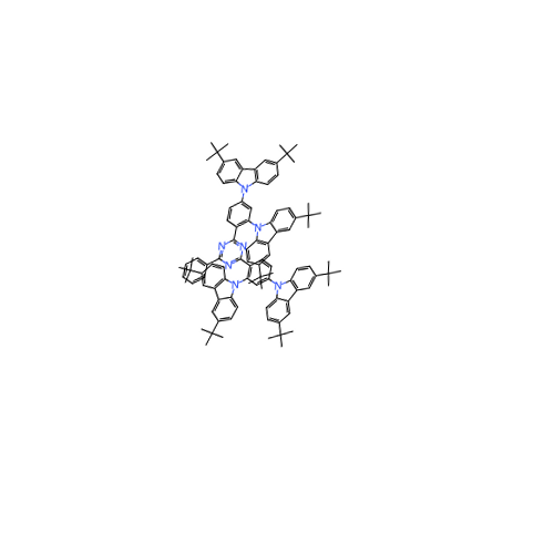 CC(C)(C)c1ccc2c(c1)c1cc(C(C)(C)C)ccc1n2-c1ccc(-c2nc(-c3ccccc3)nc(-c3ccc(-n4c5ccc(C(C)(C)C)cc5c5cc(C(C)(C)C)ccc54)cc3-n3c4ccc(C(C)(C)C)cc4c4cc(C(C)(C)C)ccc43)n2)c(-n2c3ccc(C(C)(C)C)cc3c3cc(C(C)(C)C)ccc32)c1